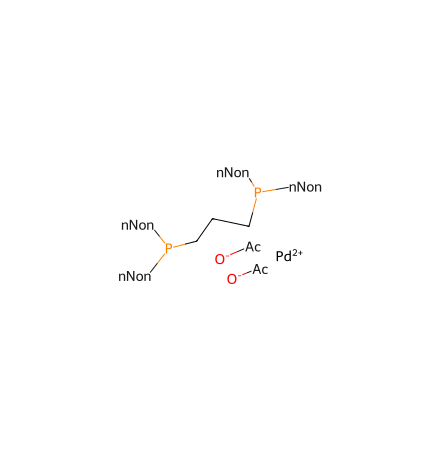 CC(=O)[O-].CC(=O)[O-].CCCCCCCCCP(CCCCCCCCC)CCCP(CCCCCCCCC)CCCCCCCCC.[Pd+2]